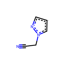 N#CCn1c[c]cn1